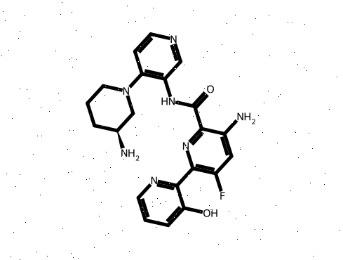 Nc1cc(F)c(-c2ncccc2O)nc1C(=O)Nc1cnccc1N1CCC[C@H](N)C1